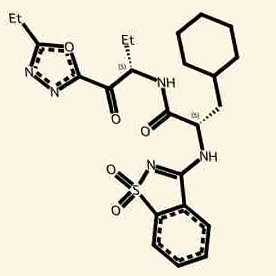 CCc1nnc(C(=O)[C@H](CC)NC(=O)[C@H](CC2CCCCC2)NC2=NS(=O)(=O)c3ccccc32)o1